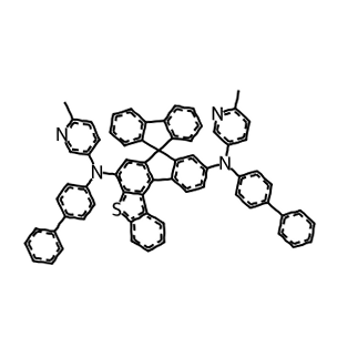 Cc1ccc(N(c2ccc(-c3ccccc3)cc2)c2ccc3c(c2)C2(c4ccccc4-c4ccccc42)c2cc(N(c4ccc(-c5ccccc5)cc4)c4ccc(C)nc4)c4sc5ccccc5c4c2-3)cn1